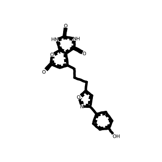 O=c1[nH]c(=O)c2c(CCCc3cc(-c4ccc(O)cc4)no3)cc(=O)oc2[nH]1